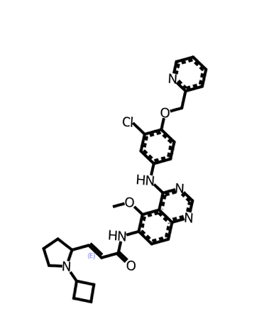 COc1c(NC(=O)/C=C/C2CCCN2C2CCC2)ccc2ncnc(Nc3ccc(OCc4ccccn4)c(Cl)c3)c12